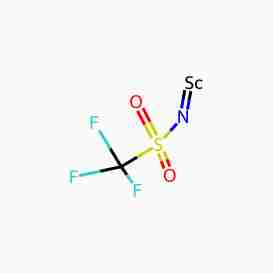 O=S(=O)([N]=[Sc])C(F)(F)F